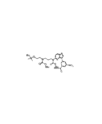 COC(=O)c1cc(-c2cnn3ccc(N(CCCN(CCO[Si](C)(C)C(C)(C)C)C(=O)OC(C)(C)C)C(=O)OC(C)(C)C)nc23)cc([N+](=O)[O-])c1